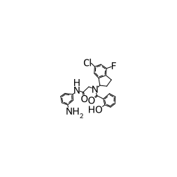 Nc1cccc(NC(=O)CN(C(=O)c2ccccc2O)[C@@H]2CCc3c(F)cc(Cl)cc32)c1